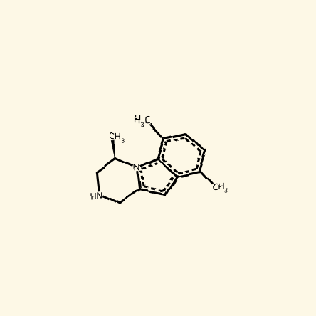 Cc1ccc(C)c2c1cc1n2[C@H](C)CNC1